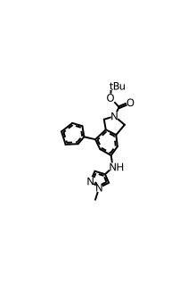 Cn1cc(Nc2cc3c(c(-c4ccccc4)c2)CN(C(=O)OC(C)(C)C)C3)cn1